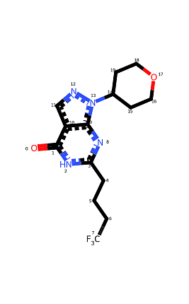 O=c1[nH]c(CCCC(F)(F)F)nc2c1cnn2C1CCOCC1